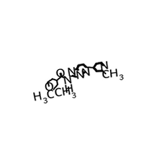 Cc1cc(-c2ccc3nc(NC(=O)C4CCOC(C)(C)C4)cn3n2)ccn1